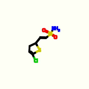 NS(=O)(=O)/C=C/C1CC=C(Cl)S1